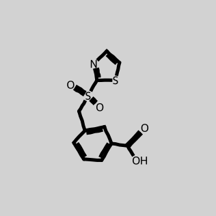 O=C(O)c1cccc(CS(=O)(=O)c2nccs2)c1